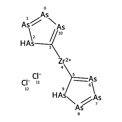 [As]1=[As][AsH][C]([Zr+2][C]2=[As][As]=[As][AsH]2)=[As]1.[Cl-].[Cl-]